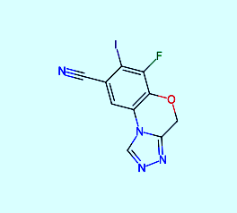 N#Cc1cc2c(c(F)c1I)OCc1nncn1-2